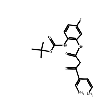 CC(C)(C)OC(=O)Nc1ccc(F)cc1NC(=O)CC(=O)C(/C=C\N)=C/N